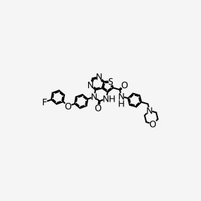 O=C(Nc1ccc(CN2CCOCC2)cc1)c1sc2ncnc3c2c1NC(=O)N3c1ccc(Oc2cccc(F)c2)cc1